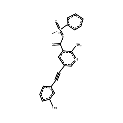 C[S@@](=O)(=NC(=O)c1cc(C#Cc2cccc(O)c2)cnc1N)c1ccccc1